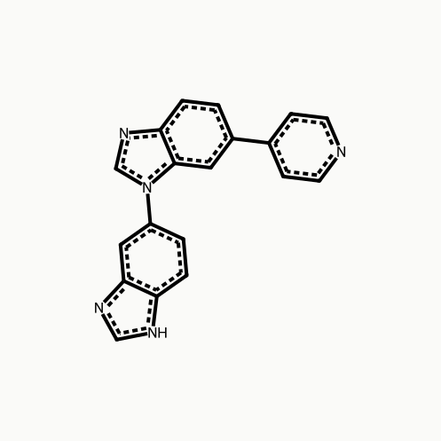 c1cc(-c2ccc3ncn(-c4ccc5[nH]cnc5c4)c3c2)ccn1